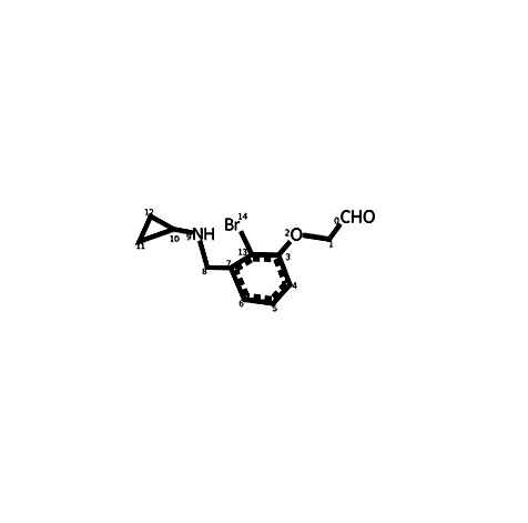 O=CCOc1cccc(CNC2CC2)c1Br